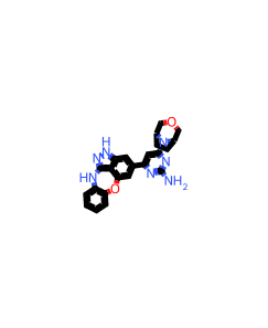 Nc1nc(-c2cc3c4c(n[nH]c4c2)Nc2ccccc2O3)cc(N2C3CCC2COC3)n1